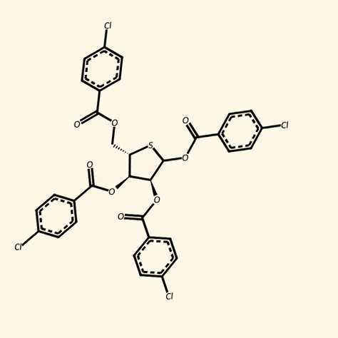 O=C(OC[C@@H]1SC(OC(=O)c2ccc(Cl)cc2)[C@@H](OC(=O)c2ccc(Cl)cc2)[C@H]1OC(=O)c1ccc(Cl)cc1)c1ccc(Cl)cc1